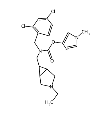 CCN1CC2C(C1)C2CN(Cc1ccc(Cl)cc1Cl)C(=O)Oc1cn(C)cn1